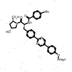 CCCCCCCOc1ccc(-c2cnc(-c3ccc(C[C@H](NC(=O)c4ccc(C(C)(C)C)cc4)C(=O)N4C[C@H](O)C[C@H]4C(=O)O)cc3)nc2)cc1